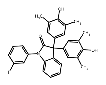 Cc1cc(C2(c3cc(C)c(O)c(C)c3)C(=O)N(c3cccc(F)c3)c3ccccc32)cc(C)c1O